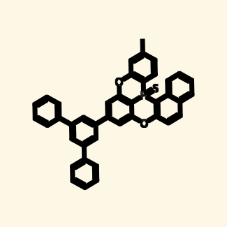 Cc1ccc2c(c1)Oc1cc(-c3cc(-c4ccccc4)cc(-c4ccccc4)c3)cc3c1P2(=S)c1c(ccc2ccccc12)O3